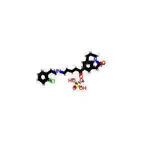 O=C(CCCCNCCc1ccccc1Cl)c1cc2c3c(c1)CC(=O)N3CCC2.O=S(=O)(O)O